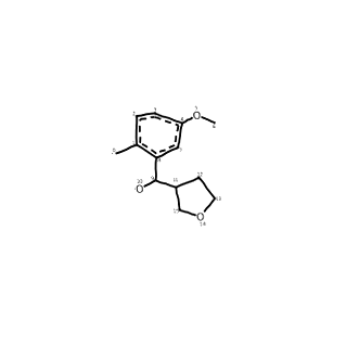 [CH2]c1ccc(OC)cc1C([O])C1CCOC1